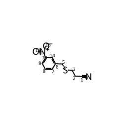 N#CCCSCc1cccc([N+](=O)[O-])c1